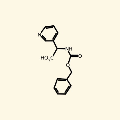 O=C(NC(C(=O)O)c1cccnc1)OCc1ccccc1